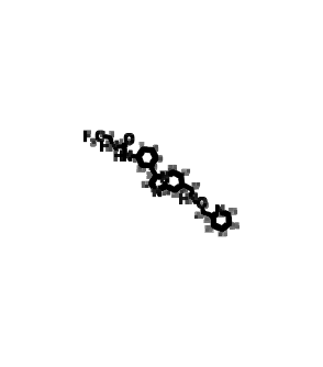 O=C(NCC(F)(F)F)Nc1cccc(-c2cnc3cc(CNOCc4ccccn4)ccn23)c1